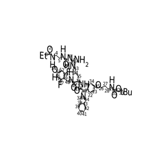 CCC(=O)NCCNC(=O)/N=C(/N)NCCC[C@@H](NC(=O)[C@H](c1ccc(OCCCNC(=O)OC(C)(C)C)cc1)N1Cc2ccccc2C1)C(=O)NCc1c(F)cc(O)cc1F